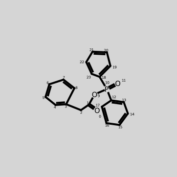 O=C(Cc1ccccc1)OP(=O)(c1ccccc1)c1ccccc1